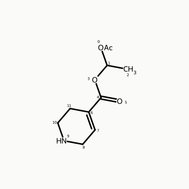 CC(=O)OC(C)OC(=O)C1=CCNCC1